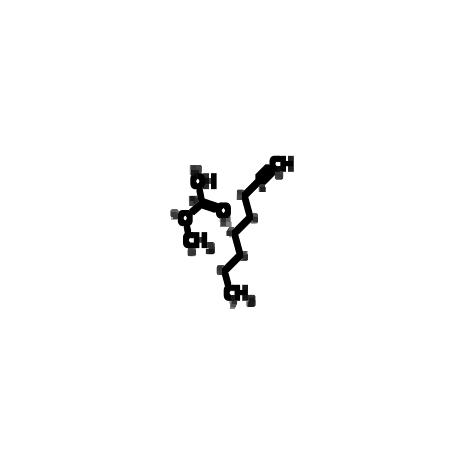 C#CCCCCCC.COC(=O)O